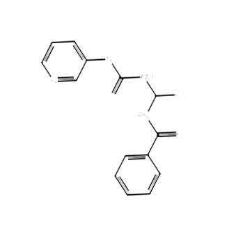 O=C(NC(NC(=S)Nc1cccnc1)C(Cl)(Cl)Cl)c1ccccc1